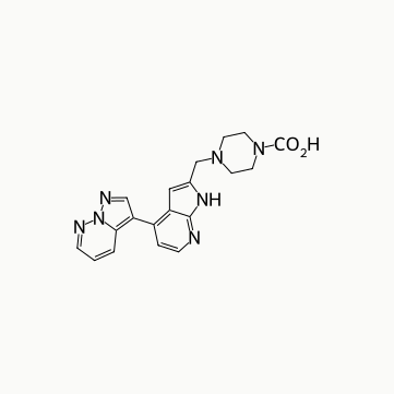 O=C(O)N1CCN(Cc2cc3c(-c4cnn5ncccc45)ccnc3[nH]2)CC1